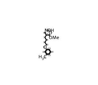 COC(=O)C(/C=N\O)CCCCOc1cccc(C)c1